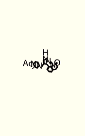 CC(=O)N1CCN(Cc2c[nH]nc2-c2cccc3c2N(C)C(=O)CC3)C[C@H]1C